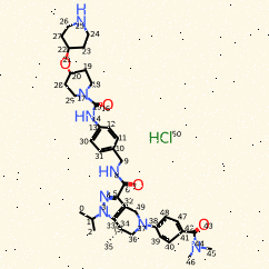 CC(C)n1nc(C(=O)NCc2ccc(NC(=O)N3CCC(OC4CCNCC4)CC3)cc2)c2c1[C@@H](C)CN(c1ccc(C(=O)N(C)C)cc1)C2.Cl